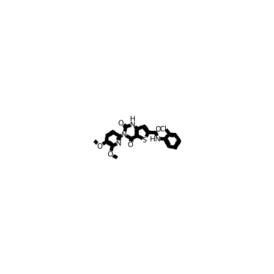 COc1ccc(-n2c(=O)[nH]c3cc(C(=O)Nc4ccccc4Cl)sc3c2=O)nc1OC